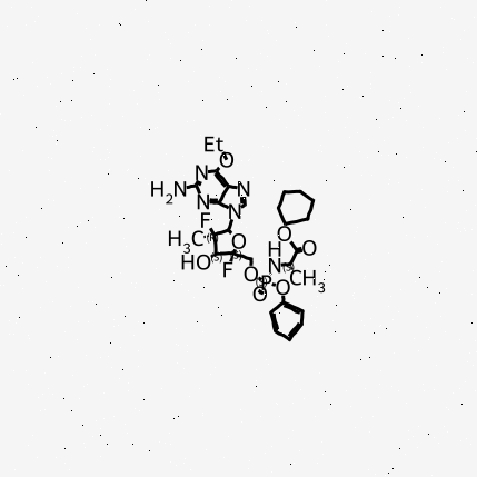 CCOc1nc(N)nc2c1ncn2C1O[C@](F)(CO[P@@](=O)(N[C@@H](C)C(=O)OC2CCCCC2)Oc2ccccc2)[C@@H](O)[C@@]1(C)F